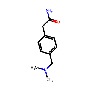 CN(C)Cc1ccc([CH]C(N)=O)cc1